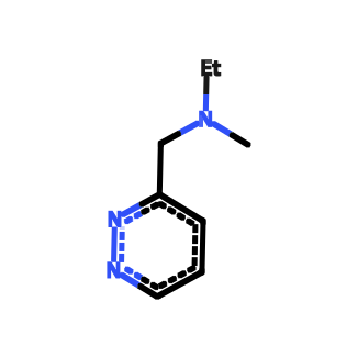 CCN(C)Cc1cccnn1